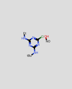 CCNc1nc(Cl)nc(NC(C)(C)C)n1.O=NO